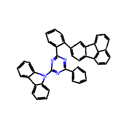 c1ccc(-c2nc(-c3ccccc3-c3ccc4c(c3)-c3cccc5cccc-4c35)nc(-n3c4ccccc4c4ccccc43)n2)cc1